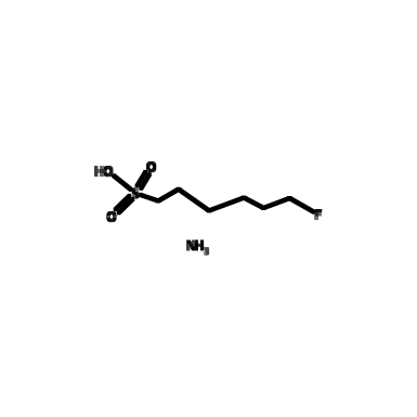 N.O=S(=O)(O)CCCCCCF